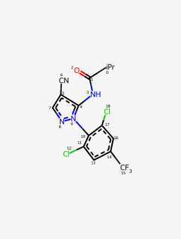 CC(C)C(=O)Nc1c(C#N)cnn1-c1c(Cl)cc(C(F)(F)F)cc1Cl